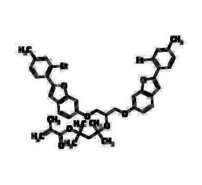 C=C(C)C(=O)OC(C)(C)CC(C)(C)OC(COc1ccc2cc(-c3ccc(C)cc3CC)oc2c1)COc1ccc2cc(-c3ccc(C)cc3CC)oc2c1